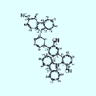 CC1c2c(n(C3=CC=CC(c4ccc(-c5cccc(C#N)c5-n5c6ccccc6c6ccccc65)cc4C#N)C3)c3ccccc23)C=CC1C#N